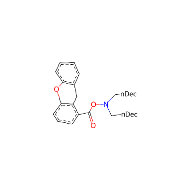 CCCCCCCCCCCN(CCCCCCCCCCC)OC(=O)c1cccc2c1Cc1ccccc1O2